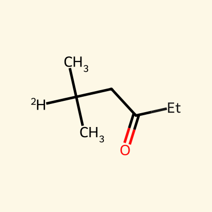 [2H]C(C)(C)CC(=O)CC